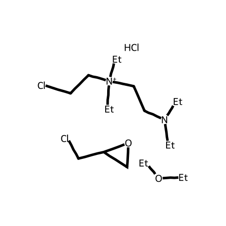 CCN(CC)CC[N+](CC)(CC)CCCl.CCOCC.Cl.ClCC1CO1